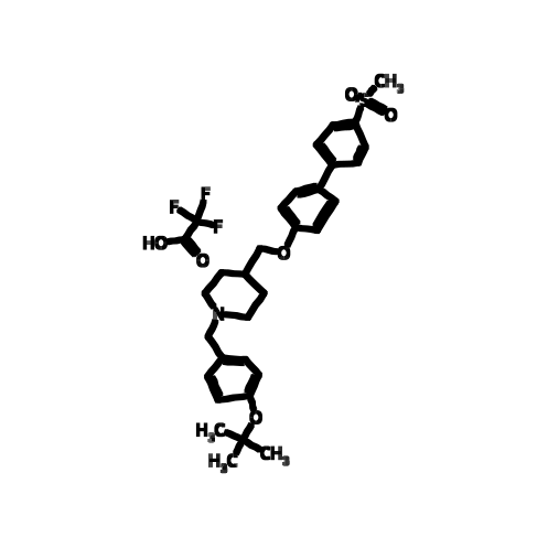 CC(C)(C)Oc1ccc(CN2CCC(COc3ccc(-c4ccc(S(C)(=O)=O)cc4)cc3)CC2)cc1.O=C(O)C(F)(F)F